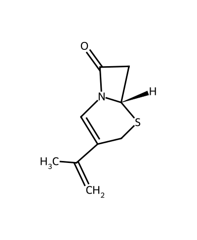 C=C(C)C1=CN2C(=O)C[C@@H]2SC1